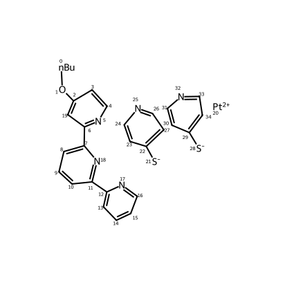 CCCCOc1ccnc(-c2cccc(-c3ccccn3)n2)c1.[Pt+2].[S-]c1ccncc1.[S-]c1ccncc1